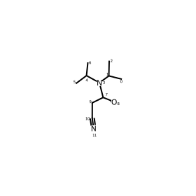 CC(C)N(C(C)C)C([O])CC#N